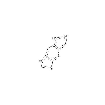 c1nc2cc3cn[nH]c3cc2[nH]1